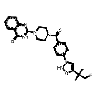 CC(C)(CF)C1=CN(c2ccc(C(=O)N3CCN(c4nc5ccccc5c(=O)[nH]4)CC3)cc2)NO1